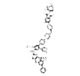 COc1cc(N2CCC(N3CCN(CC4CCN(c5cc6c(cc5F)C(=O)N(C5CCC(=O)NC5=O)C6=O)CC4)CC3)CC2)c(-c2cnn(C)c2)cc1Nc1ncc(Br)c(Nc2ccc(-c3ccccc3)cc2P(C)(C)=O)n1